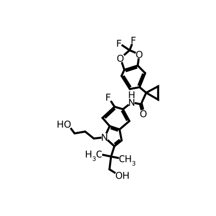 CC(C)(CO)c1cc2cc(NC(=O)C3(c4ccc5c(c4)OC(F)(F)O5)CC3)c(F)cc2n1CCCO